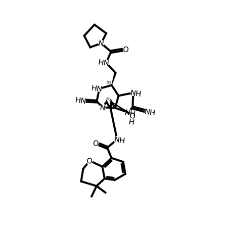 CC1(C)CCOc2c(C(=O)NC3CN4C(=N)N[C@@H](CNC(=O)N5CCCC5)C5NC(=N)NC54[C@@H]3O)cccc21